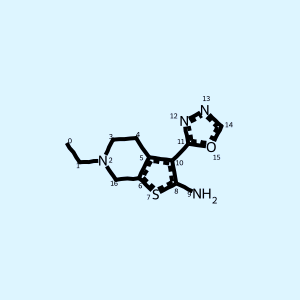 CCN1CCc2c(sc(N)c2-c2nnco2)C1